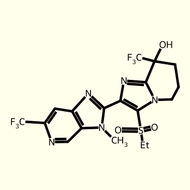 CCS(=O)(=O)c1c(-c2nc3cc(C(F)(F)F)ncc3n2C)nc2n1CCCC2(O)C(F)(F)F